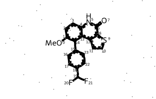 COc1ccc2[nH]c(=O)c3sccc3c2c1-c1ccc(C(F)F)cc1